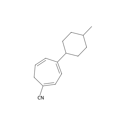 CC1CCC(C2=CC=C(C#N)CC=C2)CC1